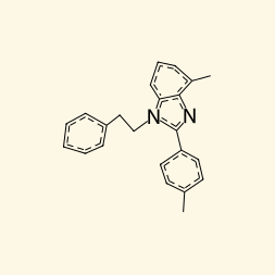 Cc1ccc(-c2nc3c(C)cccc3n2CCc2ccccc2)cc1